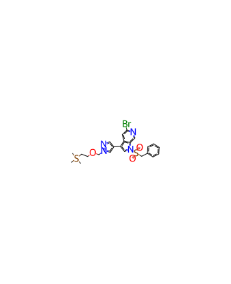 CS(C)(C)CCOCn1cc(-c2cn(S(=O)(=O)Cc3ccccc3)c3cnc(Br)cc23)cn1